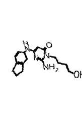 Nc1nc(Nc2ccc3c(c2)CCC3)cc(=O)n1CCCCO